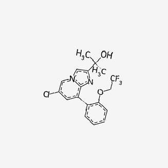 CC(C)(O)c1cn2cc(Cl)cc(-c3ccccc3OCC(F)(F)F)c2n1